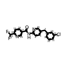 O=C(Nc1ccc(Cc2cccc(Cl)c2)cn1)c1ccc(C(F)F)nc1